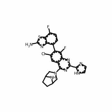 Nc1nc2c(-c3c(Cl)cc4c(N5CC6CCC(C5)N6)nc(-c5ncc[nH]5)nc4c3F)ccc(F)c2s1